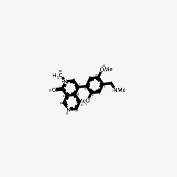 CNCc1cc(OC)c(-c2cn(C)c(=O)c3cnccc23)cc1OC